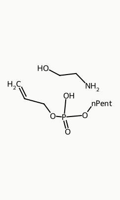 C=CCOP(=O)(O)OCCCCC.NCCO